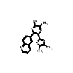 Cc1nc(-c2nc(N)c(C#N)nc2-c2ccc3ncccc3c2)oc1C